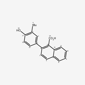 CC(C)(C)c1cc(-c2ccc3ccccc3c2C(=O)O)ccc1O